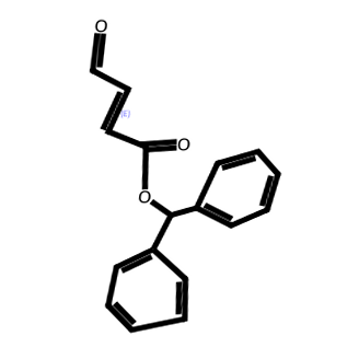 O=C/C=C/C(=O)OC(c1ccccc1)c1ccccc1